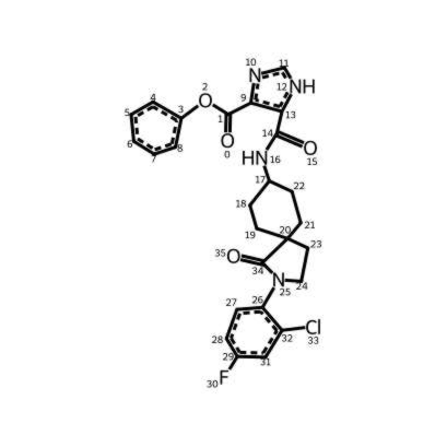 O=C(Oc1ccccc1)c1nc[nH]c1C(=O)NC1CCC2(CC1)CCN(c1ccc(F)cc1Cl)C2=O